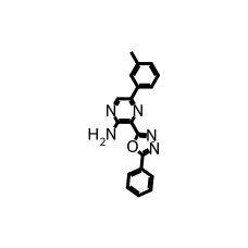 Cc1cccc(-c2cnc(N)c(-c3nnc(-c4ccccc4)o3)n2)c1